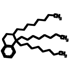 CCCCCCCCC1CCc2ccccc2C1(CCCCCCCC)CCCCCCCC